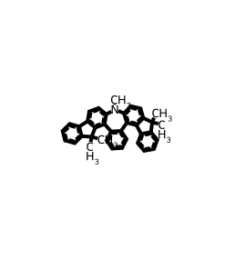 CN1c2ccc3c(c2-c2ccccc2-c2c1ccc1c2C(C)(C)c2ccccc2-1)-c1ccccc1C3(C)C